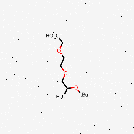 CC(COCCOCC(=O)O)OC(C)(C)C